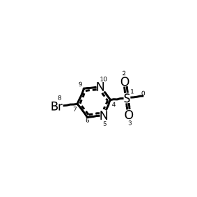 CS(=O)(=O)c1ncc(Br)cn1